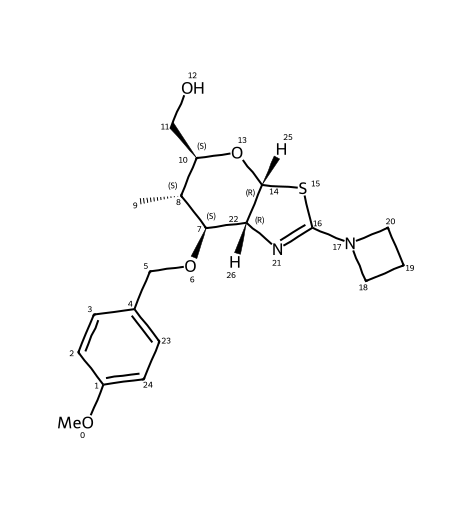 COc1ccc(CO[C@H]2[C@H](C)[C@@H](CO)O[C@@H]3SC(N4CCC4)=N[C@H]23)cc1